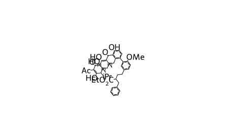 CCOC(=O)C(CCc1ccc(OC)c(-c2ccc(O)c3c2C[C@]2(C)C[C@]4(C)C(C(C)C)C(O)=C(C(C)=O)C(=O)[C@]4(O)C(O)=C2C3=O)c1)Cc1ccccc1